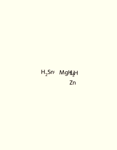 [LiH].[MgH2].[SnH2].[Zn]